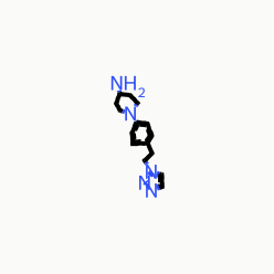 NC1CCN(c2ccc(CCn3ccnn3)cc2)CC1